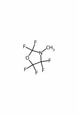 CN1C(F)(F)OC(F)(F)C1(F)F